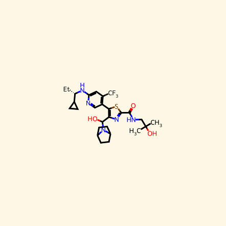 CC[C@H](Nc1cc(C(F)(F)F)c(-c2sc(C(=O)NCC(C)(C)O)nc2C(O)N2C3CCC2CC3)cn1)C1CC1